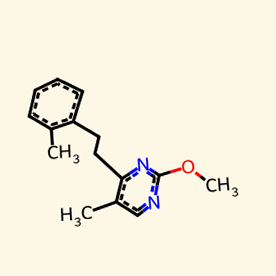 COc1ncc(C)c(CCc2ccccc2C)n1